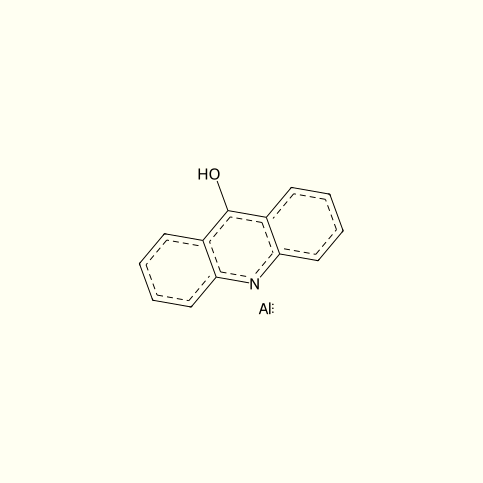 Oc1c2ccccc2nc2ccccc12.[Al]